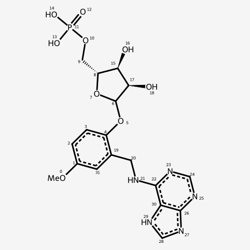 COc1ccc(OC2O[C@H](COP(=O)(O)O)[C@@H](O)[C@H]2O)c(CNc2ncnc3nc[nH]c23)c1